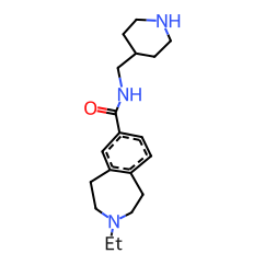 CCN1CCc2ccc(C(=O)NCC3CCNCC3)cc2CC1